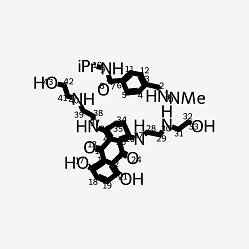 CNNCc1ccc(C(=O)NC(C)C)cc1.O=C1c2c(O)ccc(O)c2C(=O)c2c(NCCNCCO)ccc(NCCNCCO)c21